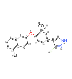 CCc1cccc2cc(Oc3ccc(-c4c[nH]nc4F)cc3C(=O)O)ccc12